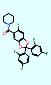 O=C(c1cc2c(cc1F)OC(c1ccc(F)cc1F)(c1ccc(F)cc1F)O2)N1CCCCC1